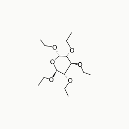 CCO[C@H]1O[C@H](OCC)[C@H](OCC)[C@@H](OCC)[C@@H]1OCC